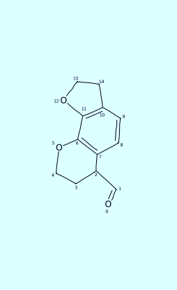 O=CC1CCOc2c1ccc1c2OCC1